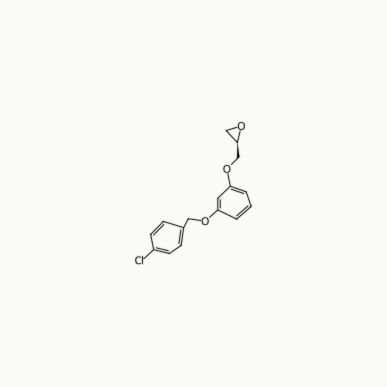 Clc1ccc(COc2cccc(OC[C@H]3CO3)c2)cc1